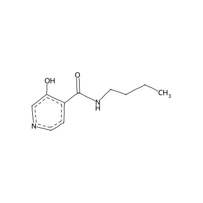 CCCCNC(=O)c1ccncc1O